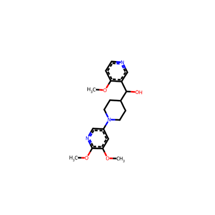 COc1ccncc1C(O)C1CCN(c2cnc(OC)c(OC)c2)CC1